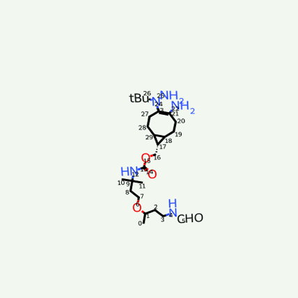 CC(CCNC=O)OCCC(C)(C)NC(=O)OC[C@H]1C2CC/C(N)=C(/N(N)C(C)(C)C)CCC21